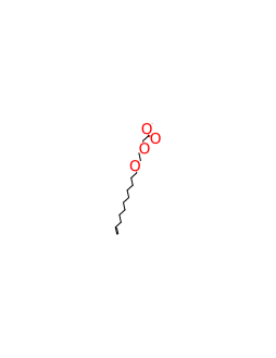 C=CCCCCCCCCCOCCOCC(=O)OC